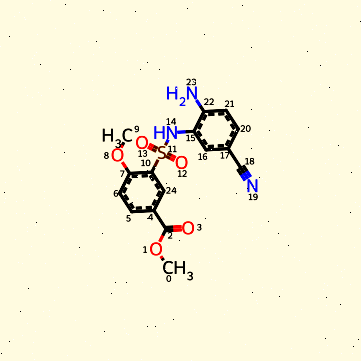 COC(=O)c1ccc(OC)c(S(=O)(=O)Nc2cc(C#N)ccc2N)c1